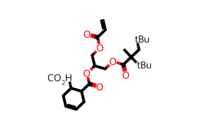 C=CC(=O)OCC(COC(=O)C(C)(CC(C)(C)C)C(C)(C)C)OC(=O)C1CC=CCC1C(=O)O